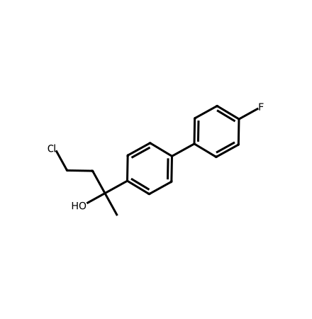 CC(O)(CCCl)c1ccc(-c2ccc(F)cc2)cc1